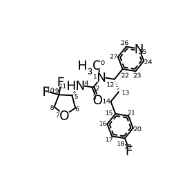 CN(C(=O)N[C@@H]1COCC1(F)F)[C@@H](CCc1ccc(F)cc1)c1ccncc1